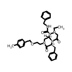 CCN1CC(=O)N2[C@@H](Cc3ccccc3)C(=O)N(CCOCc3ccc(C)cc3)C[C@@H]2N1C(=O)NCc1ccccc1